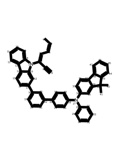 C#C/C(=C\C=C/C)n1c2ccccc2c2ccc(-c3cccc(-c4ccc(N(c5ccccc5)c5ccc6c(c5)C(C)(C)c5ccccc5-6)cc4)c3)cc21